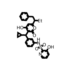 CCC(Cc1ccccc1)c1cc(O)c(C(c2cccc(NS(=O)(=O)c3ncccc3O)c2)C2CC2)c(=O)o1